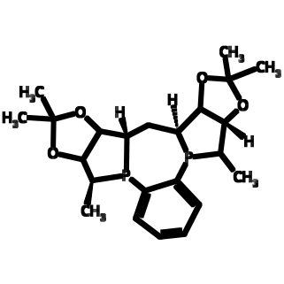 CC1[C@H]2OC(C)(C)OC2[C@@H]2C[C@H]3C4OC(C)(C)OC4[C@H](C)P3c3ccccc3P12